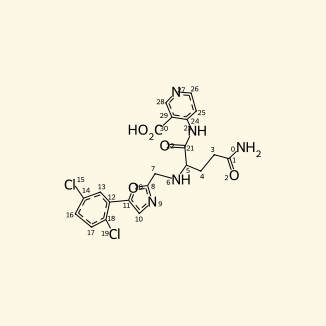 NC(=O)CCC(NCc1ncc(-c2cc(Cl)ccc2Cl)o1)C(=O)Nc1ccncc1C(=O)O